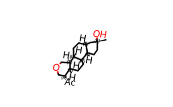 CC(=O)[C@H]1COC[C@H]2[C@@H]3CC[C@@H]4C[C@](C)(O)CC[C@@H]4[C@H]3CC[C@@H]21